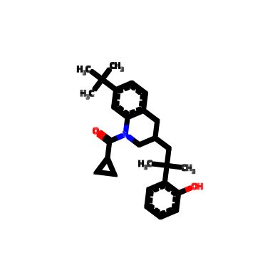 CC(C)(C)c1ccc2c(c1)N(C(=O)C1CC1)CC(CC(C)(C)c1ccccc1O)C2